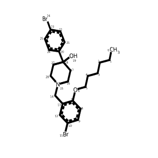 CCCCCCOc1ccc(Br)cc1CN1CCC(O)(c2ccc(Br)cc2)CC1